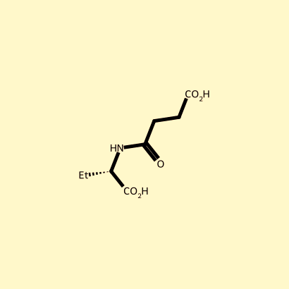 CC[C@H](NC(=O)CCC(=O)O)C(=O)O